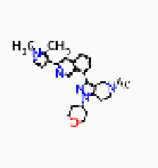 CC(=O)N1CCc2c(c(-c3cccc4cc(-c5ccn(C)c5C)ncc34)nn2C2CCOCC2)C1